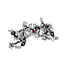 CC[C@H](C)[C@H](N)C(=O)N[C@H](C(=O)N[C@@H](Cc1ccc(O)cc1)C(=O)N[C@H](C(=O)N[C@@H](CC(N)=O)C(=O)N[C@@H](CCCNC(=N)N)C(=O)N[C@@H](CCN)C(=O)N[C@H](C(=O)N[C@H](CCN)C(=O)N[C@@H](CCCCN)C(=O)N[C@@H](CS)C(=O)N[C@@H](Cc1ccc(O)cc1)C(=O)N[C@@H](CCCNC(=N)N)C(=O)N[C@@H](Cc1ccc(O)cc1)C(=O)O)[C@@H](C)O)C(C)(C)S)[C@@H](C)O